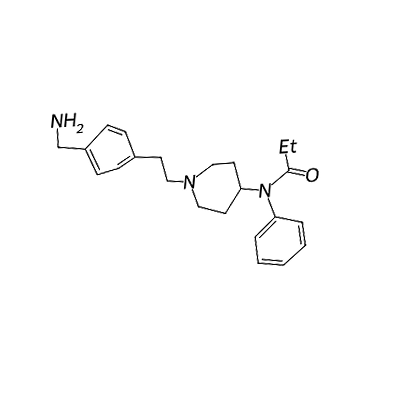 CCC(=O)N(c1ccccc1)C1CCN(CCc2ccc(CN)cc2)CC1